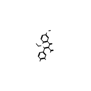 CCn1c(-c2ccc(Cl)c(Cl)c2)c(C(=O)O)c(=O)c2cc(OC)ccc21